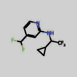 FC(F)c1ccnc(NC(C2CC2)C(F)(F)F)c1